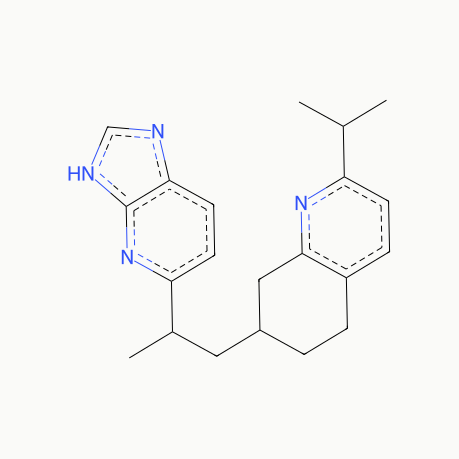 CC(C)c1ccc2c(n1)CC(CC(C)c1ccc3nc[nH]c3n1)CC2